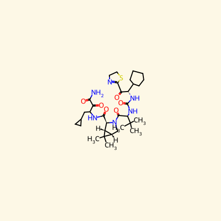 CC(C)(C)[C@H](NC(=O)N[C@H](C(=O)C1=NCCS1)C1CCCCC1)C(=O)N1C[C@H]2[C@@H]([C@H]1C(=O)NC(CC1CC1)C(=O)C(N)=O)C2(C)C